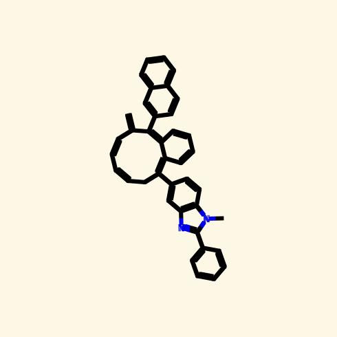 C=C1/C=C\C=C/C/C(c2ccc3c(c2)nc(-c2ccccc2)n3C)=c2/cccc/c2=C/1c1ccc2ccccc2c1